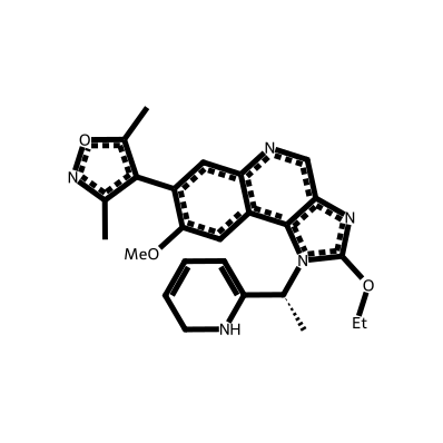 CCOc1nc2cnc3cc(-c4c(C)noc4C)c(OC)cc3c2n1[C@H](C)C1=CC=CCN1